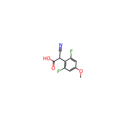 COc1cc(F)c(C(C#N)C(=O)O)c(F)c1